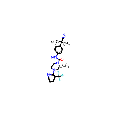 C[C@@H]1CN(c2ncccc2C(F)(F)F)CCN1C(=O)Nc1ccc(C(C)(C)C#N)cc1